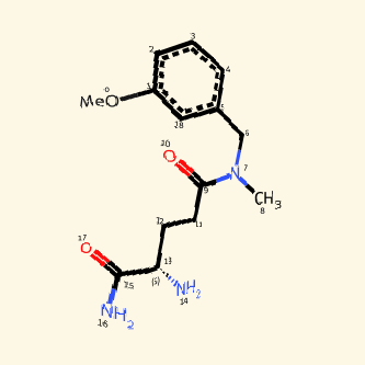 COc1cccc(CN(C)C(=O)CC[C@H](N)C(N)=O)c1